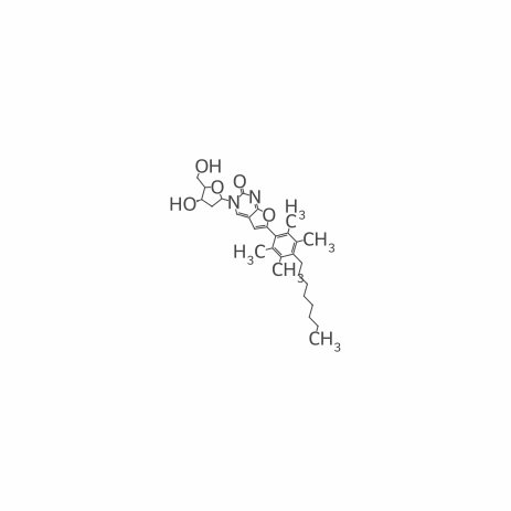 CCCCCCCCc1c(C)c(C)c(-c2cc3cn(C4C[C@@H](O)C(CO)O4)c(=O)nc3o2)c(C)c1C